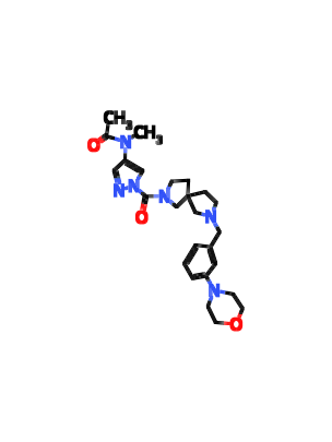 CC(=O)N(C)c1cnn(C(=O)N2CCC3(CCN(Cc4cccc(N5CCOCC5)c4)C3)C2)c1